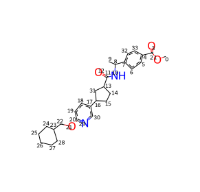 COC(=O)c1ccc(C(C)NC(=O)C2CCC(c3ccc(OCC4CCCCC4)nc3)C2)cc1